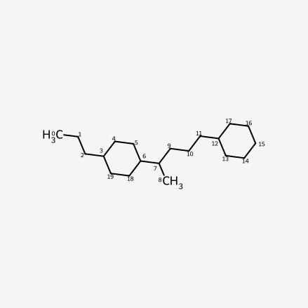 CCCC1CCC(C(C)CCCC2CCCCC2)CC1